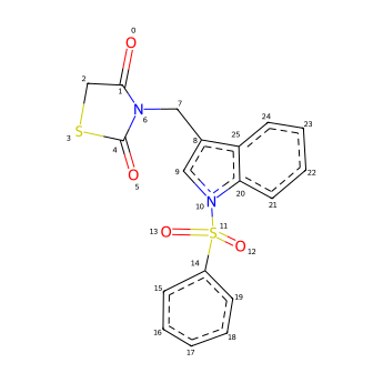 O=C1CSC(=O)N1Cc1cn(S(=O)(=O)c2ccccc2)c2ccccc12